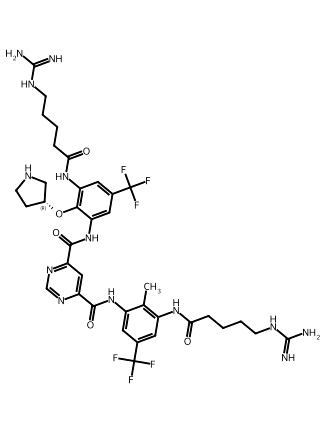 Cc1c(NC(=O)CCCCNC(=N)N)cc(C(F)(F)F)cc1NC(=O)c1cc(C(=O)Nc2cc(C(F)(F)F)cc(NC(=O)CCCCNC(=N)N)c2O[C@@H]2CCNC2)ncn1